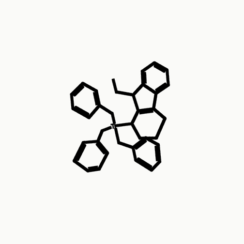 CCC1C2=C(CCC[CH]2[Ti]([CH2]c2ccccc2)([CH2]c2ccccc2)[CH2]c2ccccc2)c2ccccc21